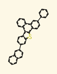 c1ccc(-c2ccc3c(c2)c2ccccc2c2c4ccc(-c5ccc6ccccc6c5)cc4sc32)cc1